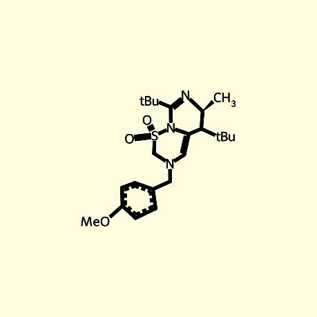 COc1ccc(CN2C=C3C(C(C)(C)C)[C@H](C)N=C(C(C)(C)C)N3S(=O)(=O)C2)cc1